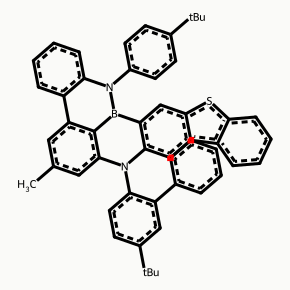 Cc1cc2c3c(c1)N(c1ccc(C(C)(C)C)cc1-c1ccccc1)c1cc4c(cc1B3N(c1ccc(C(C)(C)C)cc1)c1ccccc1-2)sc1ccccc14